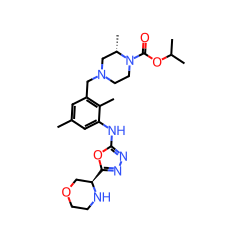 Cc1cc(CN2CCN(C(=O)OC(C)C)[C@@H](C)C2)c(C)c(Nc2nnc([C@@H]3COCCN3)o2)c1